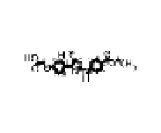 CCOC(=O)c1ccc(Nc2nc(-c3ccc(OCC(=O)O)cc3)c(C)s2)cc1